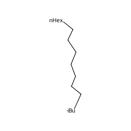 CCCCCCCCCCCCC[C](C)CC